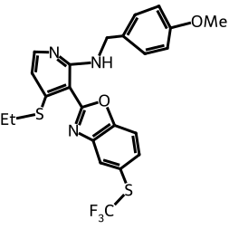 CCSc1ccnc(NCc2ccc(OC)cc2)c1-c1nc2cc(SC(F)(F)F)ccc2o1